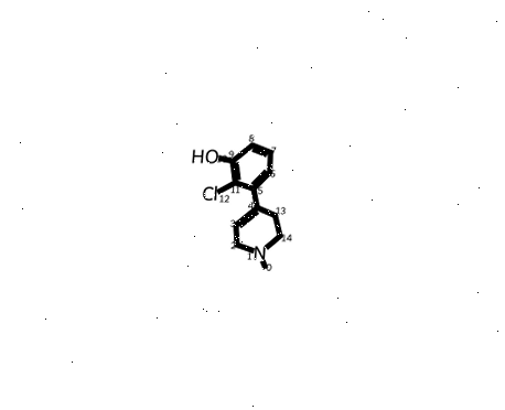 CN1CC=C(c2cccc(O)c2Cl)CC1